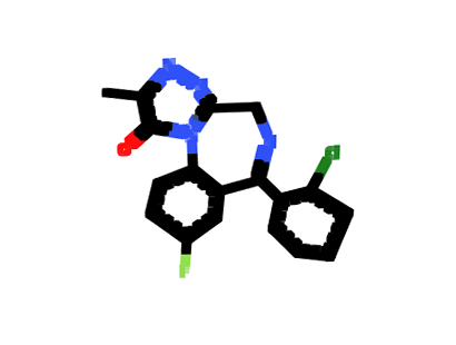 Cc1nnc2n(c1=O)-c1ccc(F)cc1C(c1ccccc1Cl)=NC2